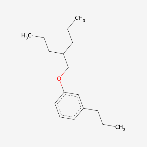 CCCc1cccc(OCC(CCC)CCC)c1